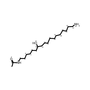 CC(=O)NCCCCCCC(O)CCCCCCCCCCCN